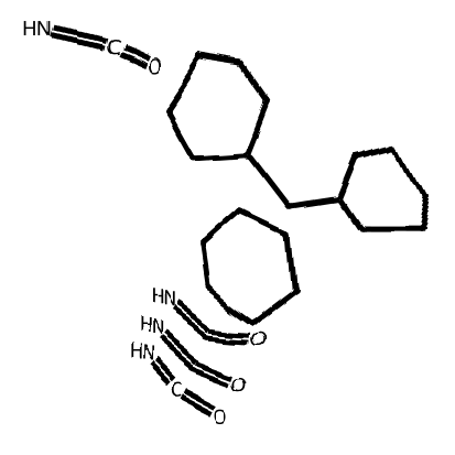 C1CCC(CC2CCCCC2)CC1.C1CCCCC1.N=C=O.N=C=O.N=C=O.N=C=O